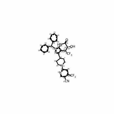 N#Cc1cnc(N2CCC(c3nn(C(c4ccccc4)c4ccccc4)c4c3[C@H](C(F)(F)F)[C@H](O)C(=O)N4)CC2)cc1C(F)(F)F